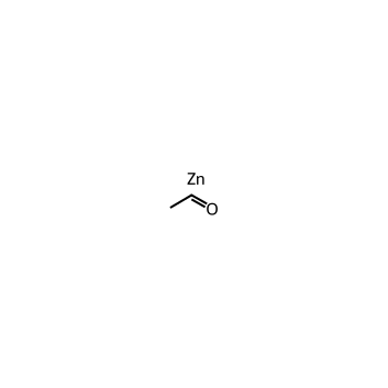 CC=O.[Zn]